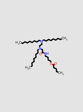 CCCCCCCCCN(CCCCCCCCC)CCN(CCCCCCCCC)CC(=O)NCCCCOC(=O)CCCC